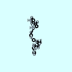 CN(C(=O)c1cnn2ccc(N3CCOCC3)nc12)c1cn([C@H]2CC[C@H](CN3CCC(OCCCNc4cccc5c4C(=O)N(C4CCC(=O)NC4=O)C5=O)CC3)CC2)nc1C(F)F